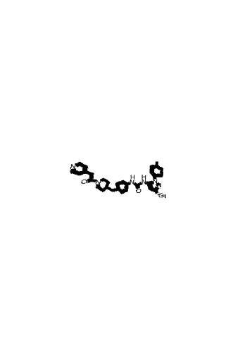 Cc1ccc(-n2nc(C(C)(C)C)cc2NC(=O)Nc2ccc(CC3CCN(C(=O)Cc4ccncc4)CC3)cc2)cc1